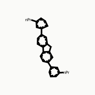 CCCc1cccc(-c2ccc3c(c2)[CH]c2cc(-c4cccc(CCC)c4)ccc2-3)c1